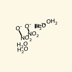 O.O.O.O.O=[N+]([O-])[O-].O=[N+]([O-])[O-].[Be+2]